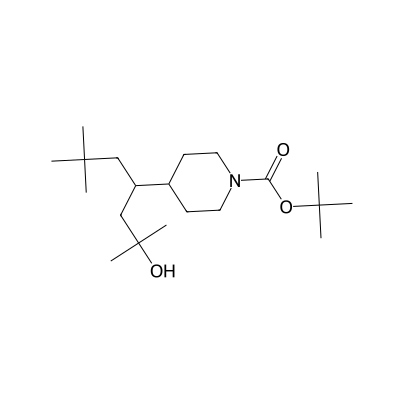 CC(C)(C)CC(CC(C)(C)O)C1CCN(C(=O)OC(C)(C)C)CC1